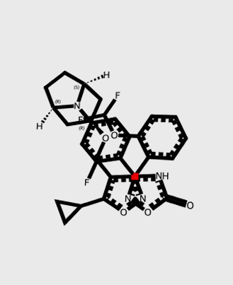 O=c1[nH]c(-c2ccc(N3[C@@H]4CC[C@H]3C[C@@H](OCc3c(-c5ccccc5OC(F)F)noc3C3CC3)C4)cc2F)no1